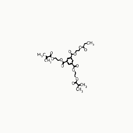 C=C(C)C(=O)OCCOC(=O)c1cc(C(=O)OCCOC(=O)CC)cc(C(=O)OCCOC(=O)C(=C)C)c1